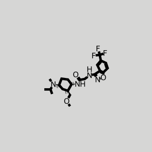 COC[C@H]1C[C@H](N(C)C(C)C)CC[C@@H]1NC(=O)CNc1noc2ccc(C(F)(F)F)cc12